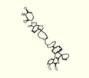 O=C1CC[C@H](N2Cc3c(ccc4c3OCC43CCN(CC4CCC(c5ccc6c(c5)-n5c(nc(=O)c7c(Cl)cccc75)C65CCCCC5)C4)CC3)C2=O)C(=O)N1